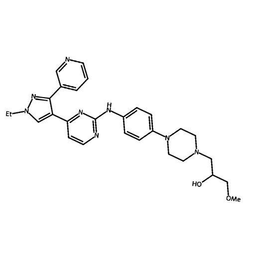 CCn1cc(-c2ccnc(Nc3ccc(N4CCN(CC(O)COC)CC4)cc3)n2)c(-c2cccnc2)n1